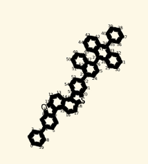 c1ccc(-c2ccc3c(c2)oc2ccc4c(ccc5sc6cc(-c7ccc(-c8c9ccccc9c(-c9ccccc9)c9ccccc89)c8ccccc78)ccc6c54)c23)cc1